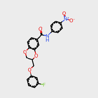 O=C(Nc1ccc([N+](=O)[O-])cc1)c1ccc2c(c1)OC(COc1cccc(F)c1)CO2